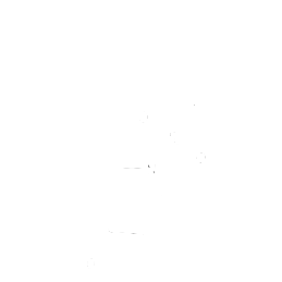 C=CCS(=O)(=O)N1CCC(=O)CC1.CC